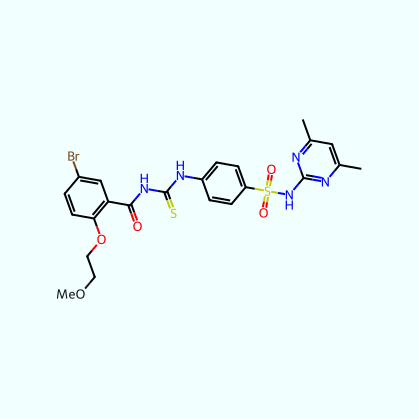 COCCOc1ccc(Br)cc1C(=O)NC(=S)Nc1ccc(S(=O)(=O)Nc2nc(C)cc(C)n2)cc1